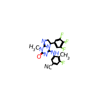 Cc1c(F)cc(C#N)cc1NC1=NC(=O)N(C)C2=NCC(c3cc(F)c(F)c(F)c3)N12